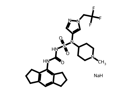 CN1CCC(N(c2cnn(CC(F)(F)F)c2)S(=O)(=O)NC(=O)Nc2c3c(cc4c2CCC4)CCC3)CC1.[NaH]